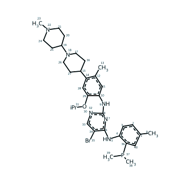 Cc1ccc(Nc2nc(Nc3cc(C)c(C4CCN(C5CCN(C)CC5)CC4)cc3OC(C)C)ncc2Br)c(P(C)C)c1